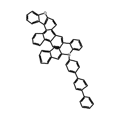 c1ccc(-c2ccc(-c3ccc(N(c4ccc5ccccc5c4)c4ccccc4-c4ccc5c6ccccc6c6c(ccc7oc8ccccc8c76)c5c4)cc3)cc2)cc1